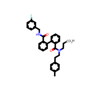 Cc1ccc(CCN(CCC(=O)O)C(=O)c2ccccc2-c2ccccc2C(=O)NCc2cccc(F)c2)cc1